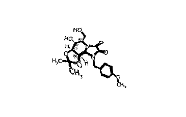 COc1ccc(CN2C(=O)C(=O)N3C2[C@H]2OC(C)(C)O[C@H]2[C@H](O)[C@H]3CO)cc1